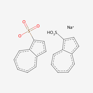 O=S(=O)(O)c1ccc2cccccc1-2.O=S(=O)([O-])c1ccc2cccccc1-2.[Na+]